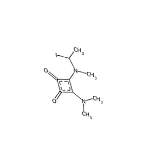 CC(I)N(C)c1c(N(C)C)c(=O)c1=O